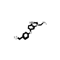 NCN1CNc2ccc(Oc3ccc(CC(F)(F)F)cc3)cc21